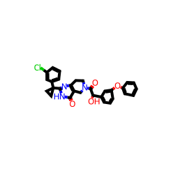 O=C(C(O)c1cccc(Oc2ccccc2)c1)N1CCc2nc(C3(c4cccc(Cl)c4)CC3)[nH]c(=O)c2C1